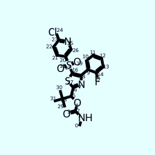 CNC(=O)OC(c1nc(-c2ccccc2F)c(S(=O)(=O)c2ccc(Cl)nc2)s1)C(C)(C)C